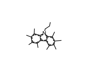 CCCn1c2c(C)c(C)c(C)c(C)c2c2c(C)c(C)c(C)c(C)c21